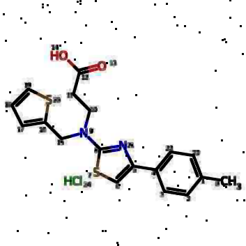 Cc1ccc(-c2csc(N(CCC(=O)O)Cc3cccs3)n2)cc1.Cl